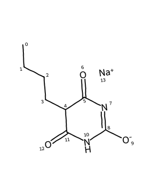 CCCCC1C(=O)N=C([O-])NC1=O.[Na+]